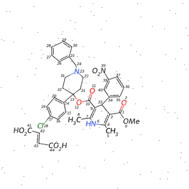 COC(=O)C1=C(C)NC(C)=C(C(=O)OC2(c3ccc(Cl)cc3)CCN(Cc3ccccc3)CC2)C1c1cccc([N+](=O)[O-])c1.O=C(O)C=CC(=O)O